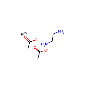 CC(=O)[O-].CC(=O)[O-].NCCN.[Ni+2]